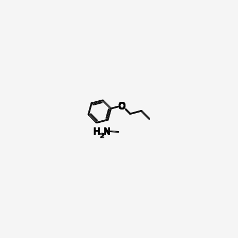 CCCOc1ccccc1.CN